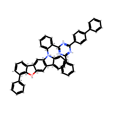 c1ccc(-c2ccc(-c3nc(-c4ccccc4)nc(-c4ccccc4-n4c5ccccc5c5cc6oc7c(-c8ccccc8)cccc7c6cc54)n3)cc2)cc1